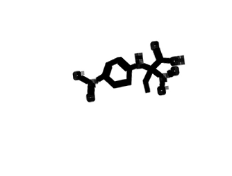 CCC(Nc1ccc([N+](=O)[O-])cc1)(C(=O)O)[N+](=O)[O-]